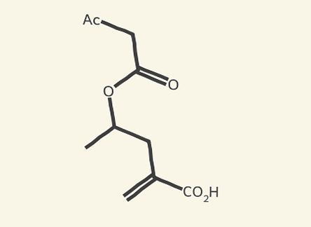 C=C(CC(C)OC(=O)CC(C)=O)C(=O)O